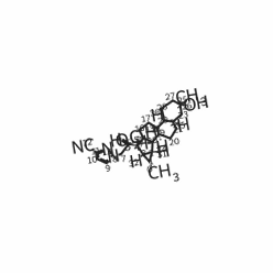 C[C@H]1[C@@H]2[C@H]1[C@@H](C(=O)Cn1ccc(C#N)n1)[C@@]1(C)CC[C@H]3[C@@H](CC[C@@H]4C[C@](C)(O)CC[C@@H]43)[C@H]21